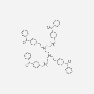 C[N+](C)(CCN(CCc1ccc(C(=O)c2ccccc2)cc1)CCN(CCc1ccc(C(=O)c2ccccc2)cc1)CC[N+](C)(C)Cc1ccc(C(=O)c2ccccc2)cc1)Cc1ccc(C(=O)c2ccccc2)cc1